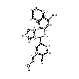 CO/N=C/c1cc(C(Oc2cc(F)c3ncccc3c2)c2nnco2)ncc1F